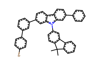 CC1(C)c2ccccc2-c2cc(-n3c4cc(-c5ccccc5)ccc4c4ccc(-c5cccc(-c6ccc(Br)cc6)c5)cc43)ccc21